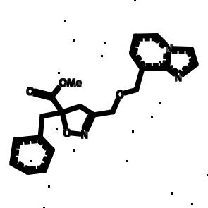 COC(=O)C1(Cc2ccccc2)CC(COCc2cccn3ccnc23)=NO1